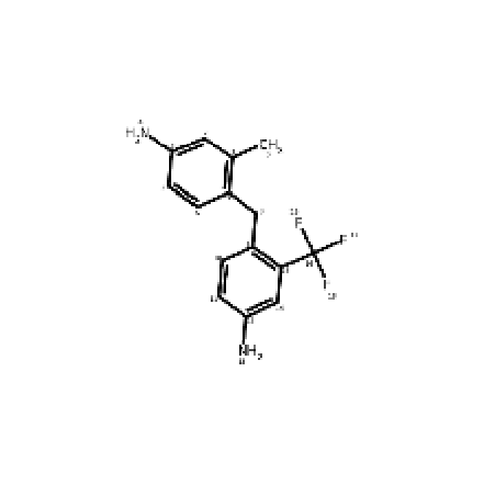 Cc1cc(N)ccc1Cc1ccc(N)cc1C(F)(F)F